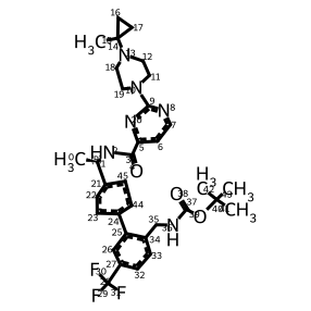 C[C@@H](NC(=O)c1ccnc(N2CCN(C3(C)CC3)CC2)n1)c1ccc(-c2cc(C(F)(F)F)ccc2CNC(=O)OC(C)(C)C)cc1